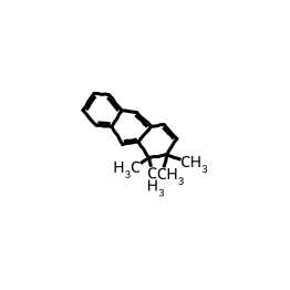 CC1(C)C=Cc2cc3ccccc3cc2C1(C)C